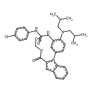 CCOC(=O)c1cc2ccccc2n1-c1ccc(N(CC(C)C)CC(C)C)c(NC(=O)Nc2ccc(Cl)cc2)c1